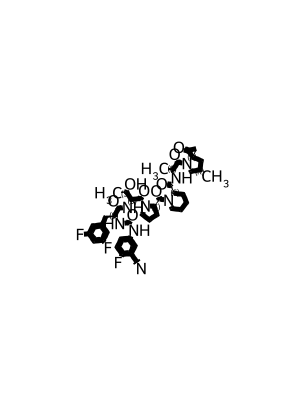 C[C@H]1CN(C(=O)[C@H](C)NC(=O)[C@@H]2CCCCN2C(=O)[C@@H]2CCCN2C(=O)[C@@H](NC(=O)[C@H](Cc2cc(F)cc(F)c2)NC(=O)Nc2ccc(F)c(C#N)c2)[C@H](C)O)[C@]2(CC2=O)C1